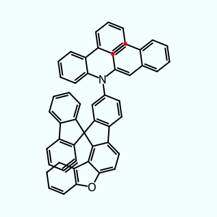 c1ccc2c(c#1)C1(c3ccccc3-2)c2cc(N(c3ccc4ccccc4c3)c3ccccc3-c3ccccc3)ccc2-c2ccc3oc4c(c3c21)CCC=C4